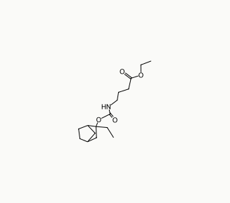 CCOC(=O)CCCNC(=O)OC1(CC)CC2CCC1C2